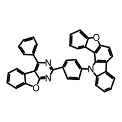 c1ccc(-c2nc(-c3ccc(-n4c5ccccc5c5ccc6oc7ccccc7c6c54)cc3)nc3oc4ccccc4c23)cc1